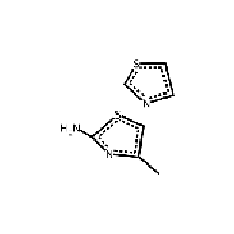 Cc1csc(N)n1.c1cscn1